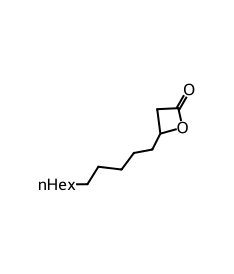 CCCCCCCCCCCC1CC(=O)O1